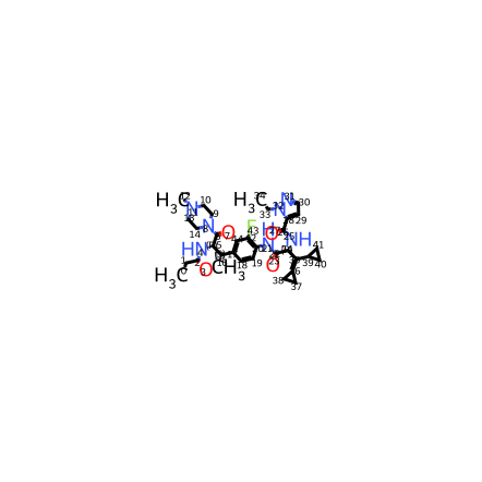 CCC(=O)N[C@@H](C(=O)N1CCN(C)CC1)[C@@H](C)c1ccc(NC(=O)[C@H](NC(=O)c2ccnn2CC)C(=C2CC2)C2CC2)c(F)c1